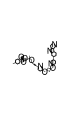 Cc1ccc(S(=O)(=O)OCC(C)OCC#Cc2ccc(O[C@H]3C[C@H](Oc4ccc(-c5ccc6c7cnccc7n(C)c6c5)cn4)C3)cn2)cc1